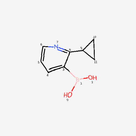 OB(O)c1cccnc1C1CC1